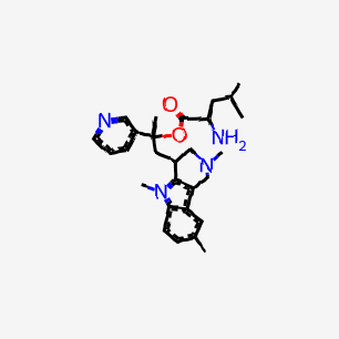 Cc1ccc2c(c1)c1c(n2C)C(CC(C)(OC(=O)C(N)CC(C)C)c2cccnc2)CN(C)C1